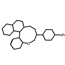 CCCC1CCC(C2CCC3CCC4CCCCC4C3C3C(CCC4CCCCC43)OC2)CC1